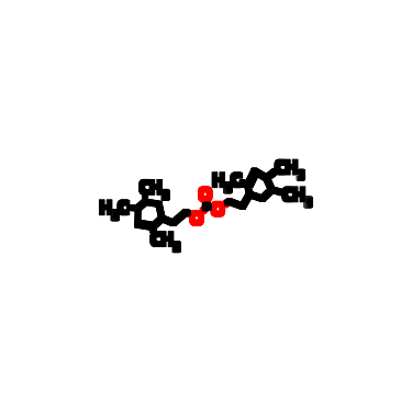 CC1=CC(C)C(C)CC1CCOC(=O)OCCC1CC(C)C(C)C=C1C